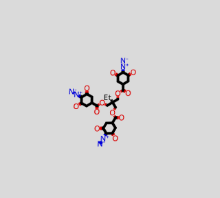 CCC(COC(=O)C1CC(=O)C(=[N+]=[N-])C(=O)C1)(COC(=O)C1CC(=O)C(=[N+]=[N-])C(=O)C1)COC(=O)C1CC(=O)C(=[N+]=[N-])C(=O)C1